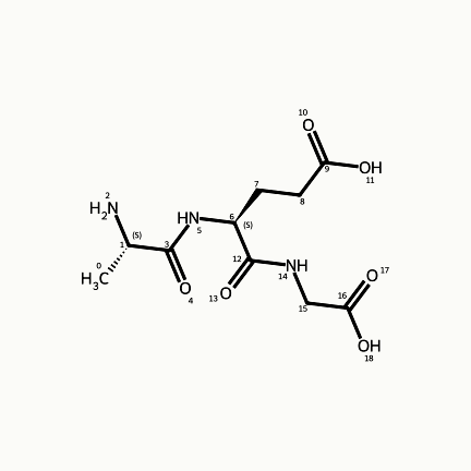 C[C@H](N)C(=O)N[C@@H](CCC(=O)O)C(=O)NCC(=O)O